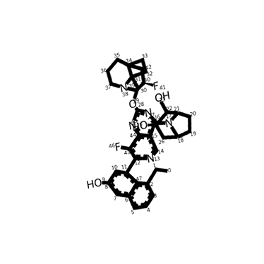 CCc1cccc2cc(O)cc(-c3ncc4c(N5C6CCC5C(O)[C@H](O)C6)nc(OCC56CCC57CCCN6C[C@H](F)C7)nc4c3F)c12